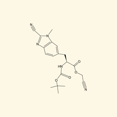 Cn1c(C#N)nc2ccc(C[C@H](NC(=O)OC(C)(C)C)C(=O)OCC#N)cc21